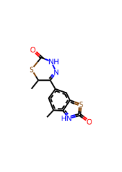 Cc1cc(C2=NNC(=O)SC2C)cc2sc(=O)[nH]c12